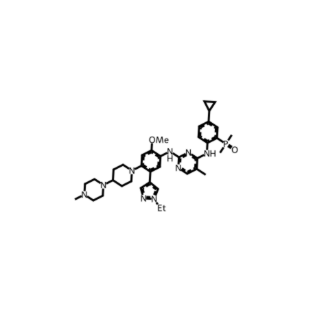 CCn1cc(-c2cc(Nc3ncc(C)c(Nc4ccc(C5CC5)cc4P(C)(C)=O)n3)c(OC)cc2N2CCC(N3CCN(C)CC3)CC2)cn1